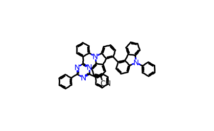 N#Cc1ccc2c(c1)c1c(-c3cccc4c3c3ccccc3n4-c3ccccc3)cccc1n2-c1ccccc1-c1nc(-c2ccccc2)nc(-c2ccccc2)n1